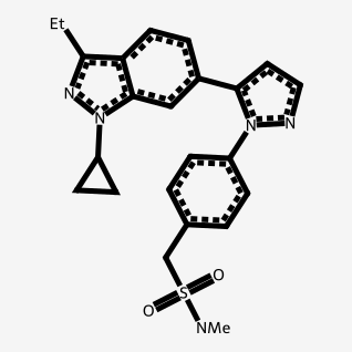 CCc1nn(C2CC2)c2cc(-c3ccnn3-c3ccc(CS(=O)(=O)NC)cc3)ccc12